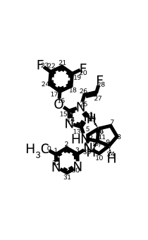 Cc1cc(N2C[C@H]3CC[C@@H](C2)[C@@H]3Nc2nc(Oc3cc(F)cc(F)c3)n(C=CF)n2)ncn1